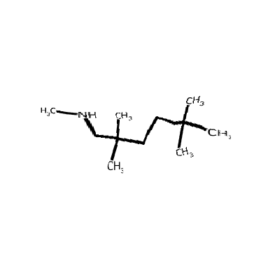 CNCC(C)(C)CCC(C)(C)C